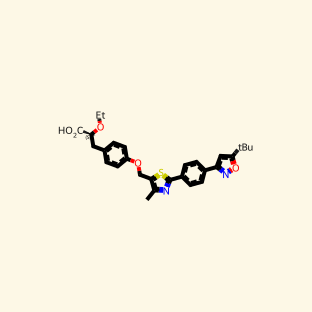 CCO[C@@H](Cc1ccc(OCc2sc(-c3ccc(-c4cc(C(C)(C)C)on4)cc3)nc2C)cc1)C(=O)O